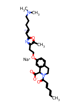 CC=CC=CC(=O)N1CCc2ccc(OCCc3nc(/C=C/CCCN(C)C)oc3C)cc2C1C(=O)[O-].[Na+]